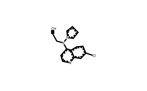 C#CCN(c1ccnc2cc(Cl)ccc12)n1cccc1